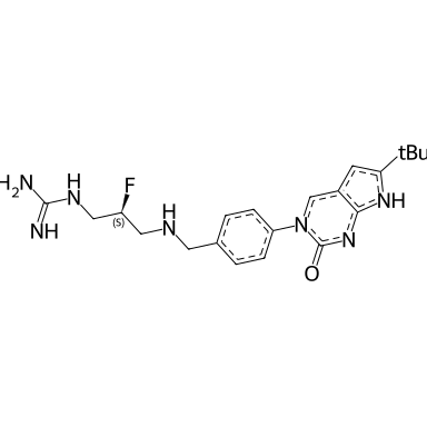 CC(C)(C)c1cc2cn(-c3ccc(CNC[C@H](F)CNC(=N)N)cc3)c(=O)nc2[nH]1